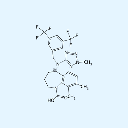 Cc1ccc2c(c1C)N(C(=O)O)CCC[C@@H]2N(Cc1cc(C(F)(F)F)cc(C(F)(F)F)c1)c1nnn(C)n1